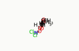 CC(=O)O[C@@]1(C)CC[C@H]2[C@@H]3CC=C4C=C(OC(=O)CCOc5ccc(N(CCCl)CCCl)cc5)CC[C@]4(C)[C@H]3CC[C@@]21C